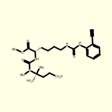 C#Cc1ccccc1NC(=O)NCCCC[C@H](NC(=O)N(C(C)(C)C)[C@@](CCC(=O)O)(C(=O)O)C(C)(C)C)C(=O)OC(C)(C)C